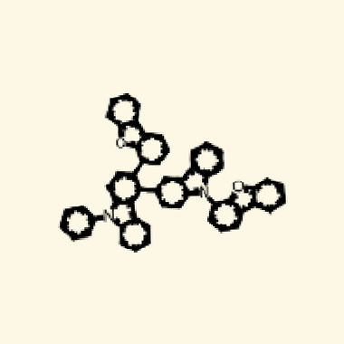 c1ccc(-n2c3ccccc3c3c(-c4ccc5c(c4)c4ccccc4n5-c4cccc5c4oc4ccccc45)c(-c4cccc5c4oc4ccccc45)ccc32)cc1